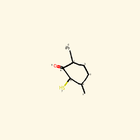 CC(C)C1CCC(C)C(S)C1=O